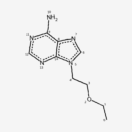 CCOCCn1cnc2c(N)ncnc21